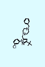 CC(C)(C)c1cc(CN2CCN(Cc3ccccc3)CC2)n(-c2cccc(Cl)c2)n1